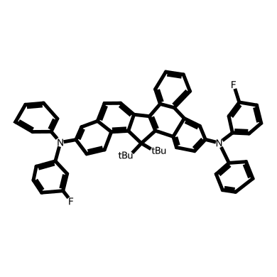 CC(C)(C)C1(C(C)(C)C)c2c(ccc3cc(N(c4ccccc4)c4cccc(F)c4)ccc23)-c2c1c1ccc(N(c3ccccc3)c3cccc(F)c3)cc1c1ccccc21